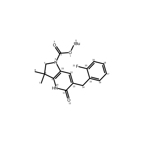 CC(C)(C)OC(=O)N1CC(C)(C)c2[nH]c(=O)c(Cc3ccccc3F)cc21